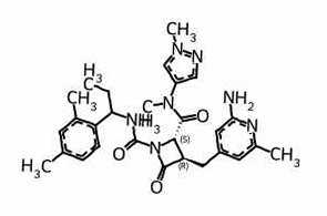 CCC(NC(=O)N1C(=O)[C@H](Cc2cc(C)nc(N)c2)[C@H]1C(=O)N(C)c1cnn(C)c1)c1ccc(C)cc1C